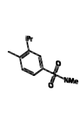 CNS(=O)(=O)c1ccc(C)c(C(C)C)c1